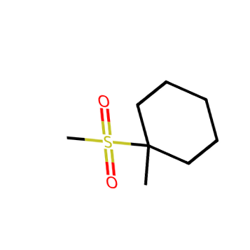 CC1(S(C)(=O)=O)CCCCC1